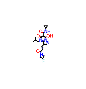 CC(C)Cn1c(=O)c(C(=O)NC2CC2)c(O)n2ncc(/C=C/C(=O)N3CC(F)C3)c12